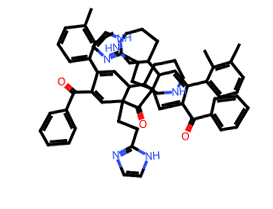 Cc1cccc(C2=CC(C3CCCNC3)C(CCc3ncc[nH]3)(C(=O)C3(CCc4ncc[nH]4)C=C(C(=O)c4ccccc4)C(c4cccc(C)c4C)=CC3C3CCCNC3)C=C2C(=O)c2ccccc2)c1C